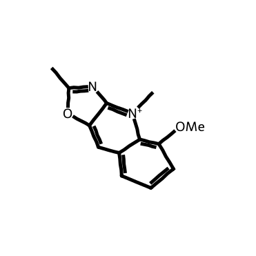 COc1cccc2cc3oc(C)nc3[n+](C)c12